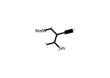 C#CC(CNC)C(C)CCC